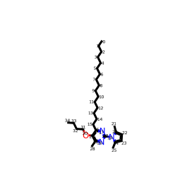 CCCCCCCCCCCCCCCCc1nc(-n2c(C)ccc2C)nc(C)c1OCCCC